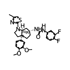 COc1ccc([C@@]23CC[C@@H](NC(=O)Nc4ccc(F)c(F)c4)C[C@@H]2N(c2nc(C)cs2)CC3)cc1OC